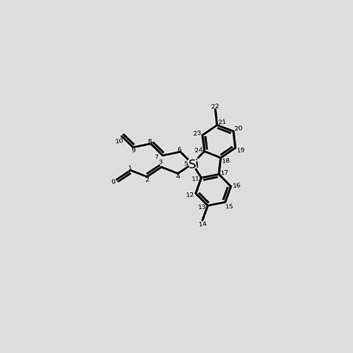 C=C/C=C/C[Si]1(C/C=C/C=C)c2cc(C)ccc2-c2ccc(C)cc21